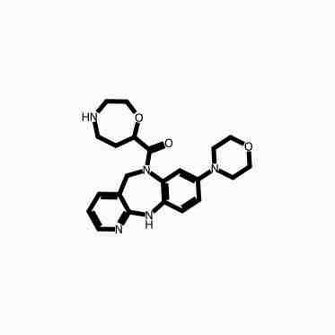 O=C(C1CCNCCO1)N1Cc2cccnc2Nc2ccc(N3CCOCC3)cc21